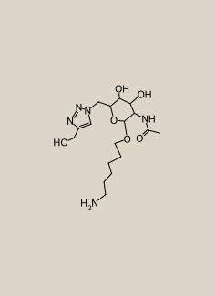 CC(=O)NC1C(OCCCCCCN)OC(Cn2cc(CO)nn2)C(O)C1O